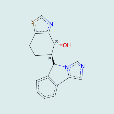 O[C@H]1c2ncsc2CC[C@@H]1C1c2ccccc2-c2cncn21